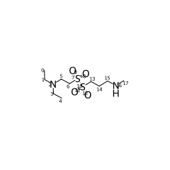 CCN(CC)CCS(=O)(=O)S(=O)(=O)CCCNC